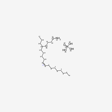 CCCCCCCC/C=C\CCCCC(CCC)OCCON.O=P(O)(O)O